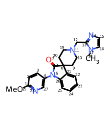 COc1ccc(N2C(=O)C3(CCN(Cc4nccn4C)CC3)c3ccccc32)cn1